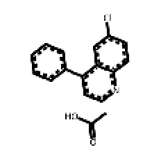 CC(=O)O.Clc1ccc2nccc(-c3ccccc3)c2c1